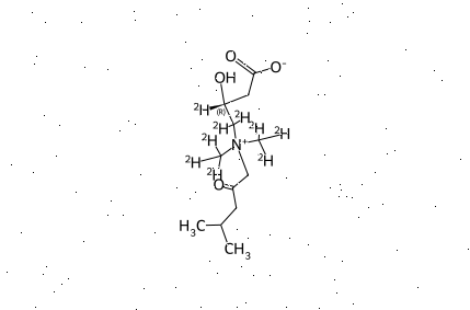 [2H]C([2H])([2H])[N+](CC(=O)CC(C)C)(C([2H])([2H])[2H])C([2H])([2H])[C@]([2H])(O)CC(=O)[O-]